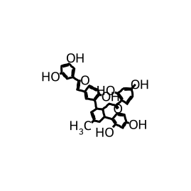 CC1=CC(c2cc3cc(-c4cc(O)cc(O)c4)oc3cc2O)C(CC(=O)c2ccc(O)cc2O)C(c2ccc(O)cc2O)C1